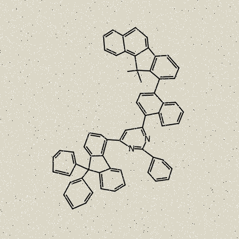 CC1(C)c2c(cccc2-c2ccc(-c3cc(-c4cccc5c4-c4ccccc4C5(c4ccccc4)c4ccccc4)nc(-c4ccccc4)n3)c3ccccc23)-c2ccc3ccccc3c21